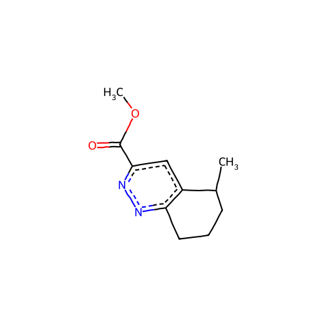 COC(=O)c1cc2c(nn1)CCCC2C